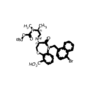 C[C@@H](CN[C@H]1COc2c(C(=O)O)cccc2N(Cc2ccc(Br)c3ccccc23)C1=O)N(C)C(=O)OC(C)(C)C